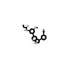 C=CC(=O)Nc1cc(OC)cc(-c2cnc3[nH]cc(-c4cccc(C#N)c4)c3c2)c1